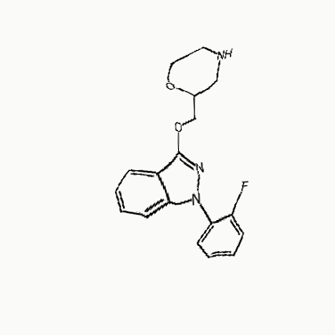 Fc1ccccc1-n1nc(OCC2CNCCO2)c2ccccc21